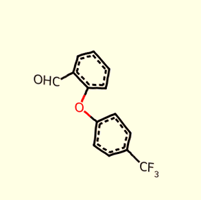 O=Cc1ccccc1Oc1ccc(C(F)(F)F)cc1